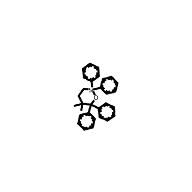 CC1(C)CC[Si](c2ccccc2)(c2ccccc2)OC1(c1ccccc1)c1ccccc1